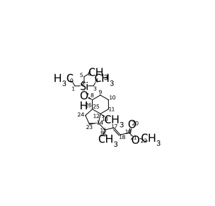 CC[Si](CC)(CC)O[C@H]1CCC[C@]2(C)[C@@H]([C@H](C)/C=C/C(=O)OC)CC[C@@H]12